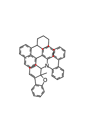 CC12Oc3ccccc3C1=CC=CC2N(c1ccccc1-c1ccccc1)c1ccccc1-c1cccc2cccc(C3CCCCC3)c12